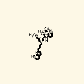 COC[C@@H](F)CN(CCCCc1ccc2c(n1)NCCC2)CC[C@H](Nc1cccnc1)C(=O)OC(C)(C)C